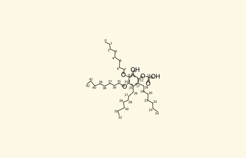 CCCCCCCCOc1c(O)c(OC(=O)O)c(CCCCCCC)c(CCCCCCC)c1OCCCCCCCC